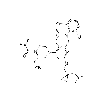 C=C(F)C(=O)N1CCN(c2nc(OCC3(CN(C)C)CC3)nc3c2C[C@@H](C)N(c2c(Cl)cccc2Cl)C3)CC1CC#N